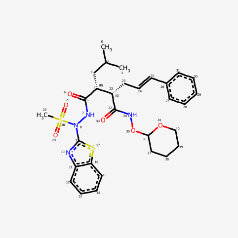 CC(C)C[C@@H](C(=O)NN(c1nc2ccccc2s1)S(C)(=O)=O)[C@H](CC=Cc1ccccc1)C(=O)NOC1CCCCO1